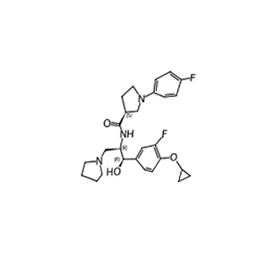 O=C(N[C@H](CN1CCCC1)[C@H](O)c1ccc(OC2CC2)c(F)c1)[C@H]1CCN(c2ccc(F)cc2)C1